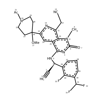 C#C[C@@H](Nc1nc(=O)n(C)c2c(CC#N)nc(C3(OC)CCN(C(C)=O)CC3)cc12)c1cccc(C(F)F)c1F